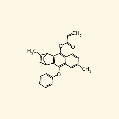 C=CC(=O)Oc1c2c(c(Oc3ccccc3)c3cc(C)ccc13)C1C=C(C)C2C1